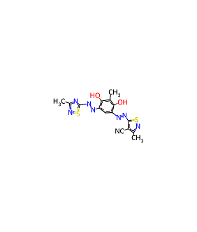 Cc1nsc(/N=N/c2cc(/N=N/c3snc(C)c3C#N)c(O)c(C)c2O)n1